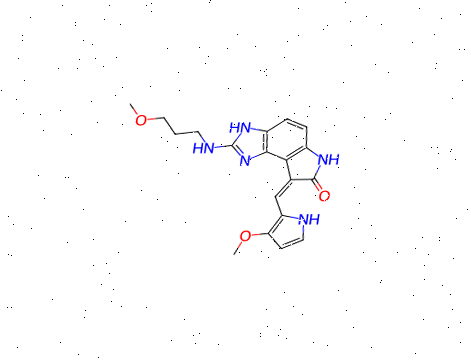 COCCCNc1nc2c3c(ccc2[nH]1)NC(=O)/C3=C\c1[nH]ccc1OC